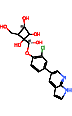 OCC1[C@@H](O)C(O)C1(O)[C@H](O)Oc1ccc(-c2cnc3[nH]ccc3c2)cc1Cl